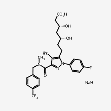 CC(C)c1c(C(=O)N(C)Cc2ccc(C(F)(F)F)cc2)nn(-c2ccc(F)cc2)c1CC[C@@H](O)C[C@@H](O)CC(=O)O.[NaH]